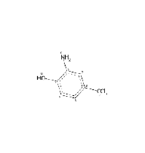 Nc1cc(C(Cl)(Cl)Cl)ccc1O